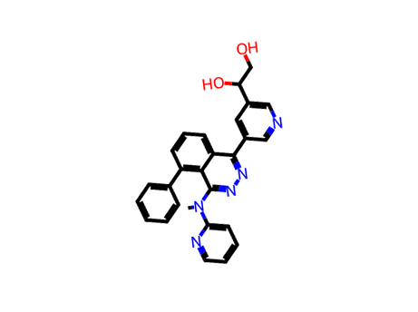 CN(c1ccccn1)c1nnc(-c2cncc(C(O)CO)c2)c2cccc(-c3ccccc3)c12